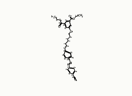 CCOC(=O)c1cc(OCCCCCCOc2ccc(/N=N/c3ccc(C#N)cc3)cc2)cc(C(=O)OCC)c1